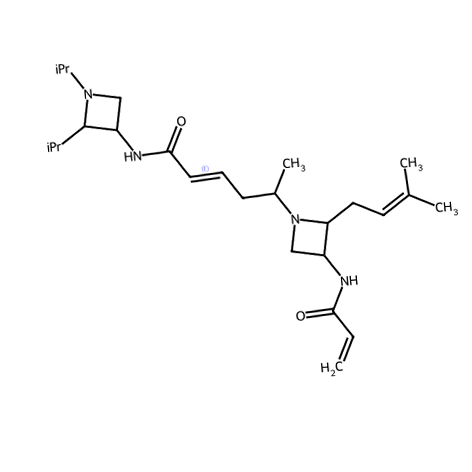 C=CC(=O)NC1CN(C(C)C/C=C/C(=O)NC2CN(C(C)C)C2C(C)C)C1CC=C(C)C